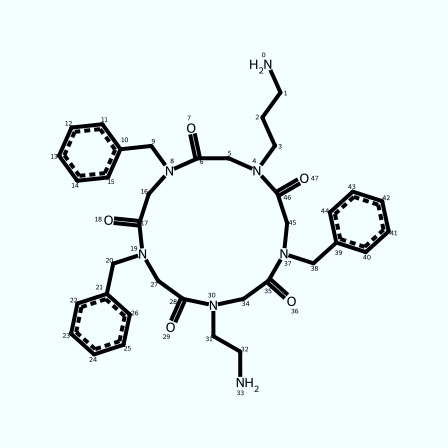 NCCCN1CC(=O)N(Cc2ccccc2)CC(=O)N(Cc2ccccc2)CC(=O)N(CCN)CC(=O)N(Cc2ccccc2)CC1=O